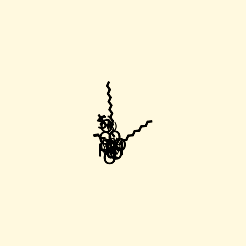 C=CCO[C@H]1O[C@@H]2COC(C)(C)O[C@H]2[C@H](OCCCCCCCCCC)[C@H]1OCC[C@@H](CCCCCCCCCCC)O[Si](C)(C)C(C)(C)C